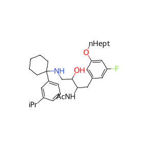 CCCCCCCOc1cc(F)cc(CC(NC(C)=O)C(O)CNC2(c3cccc(C(C)C)c3)CCCCC2)c1